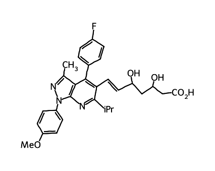 COc1ccc(-n2nc(C)c3c(-c4ccc(F)cc4)c(/C=C/C(O)CC(O)CC(=O)O)c(C(C)C)nc32)cc1